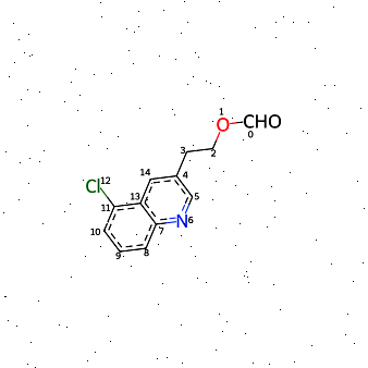 O=COCCc1cnc2cccc(Cl)c2c1